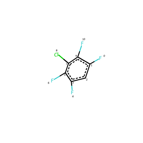 Fc1cc(F)c(F)c(Cl)c1F